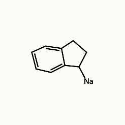 [Na][CH]1CCc2ccccc21